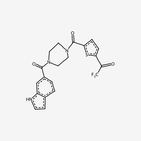 O=C(c1ccc2cc[nH]c2c1)N1CCN(C(=O)c2ccc(C(=O)C(F)(F)F)s2)CC1